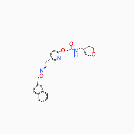 O=C(COc1ccc(CC=NOCc2ccc3ccccc3c2)cn1)NCC1=CCOCC1